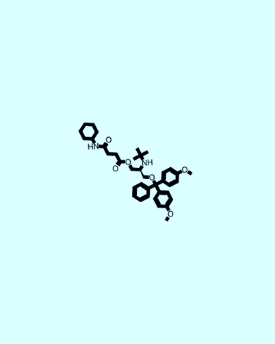 COc1ccc(C(OC[C@@H](COC(=O)CCC(=O)NC2CCCCC2)NC(C)(C)C)(c2ccccc2)c2ccc(OC)cc2)cc1